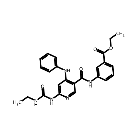 CCNC(=O)Nc1cc(Nc2ccccc2)c(C(=O)Nc2cccc(C(=O)OCC)c2)cn1